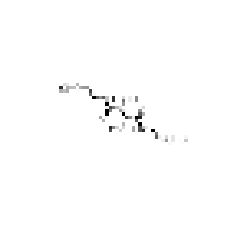 O=CCCNC(=O)[C@H](O)[C@@H](O)C(=O)NCCC=O